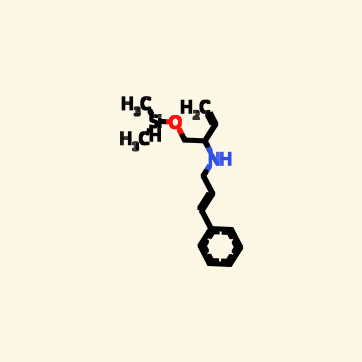 C=CC(CO[SiH](C)C)NCC=Cc1ccccc1